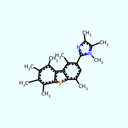 Cc1nc(-c2cc(C)c3sc4c(C)c(C)c(C)c(C)c4c3c2C)n(C)c1C